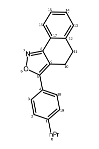 CCCc1ccc(-c2onc3c2CCc2c[c]ccc2-3)cc1